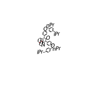 CCC[C@H](Oc1ccc(C(C(=O)C(c2ccc(O[C@@H](CCC)c3ccc(CC(C)C)cc3)cc2)c2ccccn2)c2ccccn2)cc1)c1ccc(CC(C)C)cc1